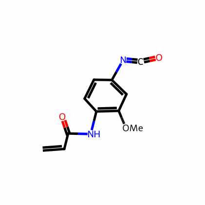 C=CC(=O)Nc1ccc(N=C=O)cc1OC